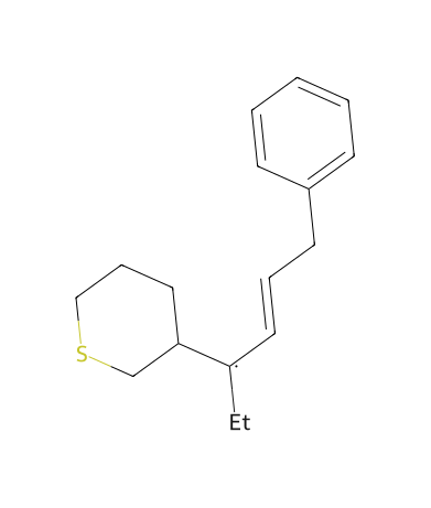 CC[C](C=CCc1ccccc1)C1CCCSC1